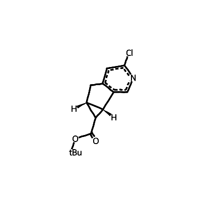 CC(C)(C)OC(=O)C1[C@H]2c3cnc(Cl)cc3C[C@@H]12